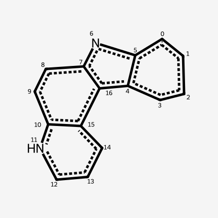 [c]1cccc2c1nc1ccc3[nH]cccc3c12